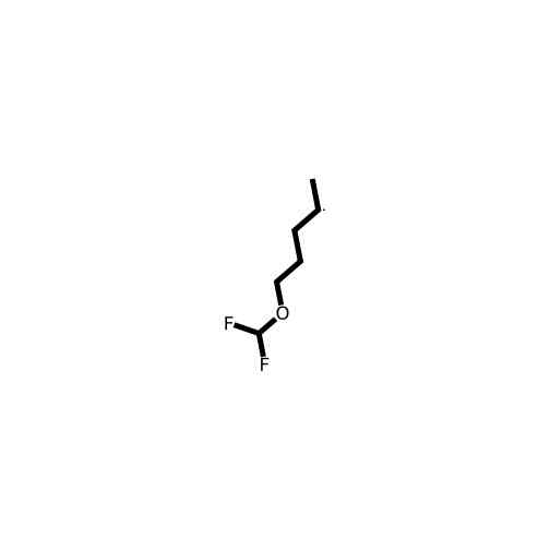 C[CH]CCCOC(F)F